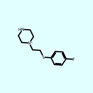 Fc1ccc(SCC[N+]2CCNCC2)cc1